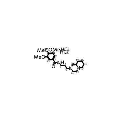 COc1cc(C(=O)NCCCN2CCN3CCCCC3C2)cc(OC)c1OC.Cl.Cl